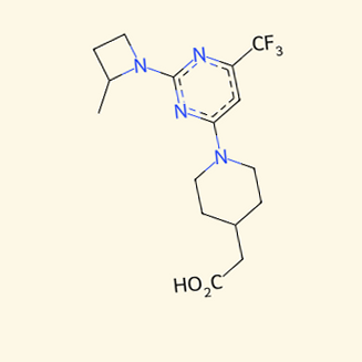 CC1CCN1c1nc(N2CCC(CC(=O)O)CC2)cc(C(F)(F)F)n1